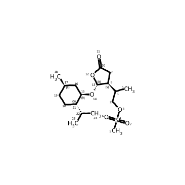 CC(COS(C)(=O)=O)[C@@H]1CC(=O)O[C@H]1O[C@@H]1C[C@H](C)CC[C@H]1C(C)C